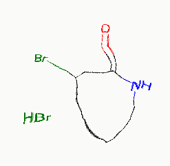 Br.O=C1NCCCC1Br